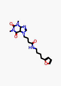 CN1C(=O)C2C(N=CN2CCCC(=O)NCCCCc2ccco2)N(C)C1=O